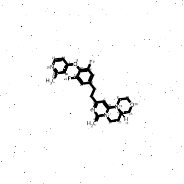 C=C1N=C(CCc2cc(F)c(Oc3ccnc(C)c3)c(F)c2)C=C2N1CC[C@H]1COCCN21